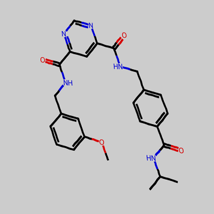 COc1cccc(CNC(=O)c2cc(C(=O)NCc3ccc(C(=O)NC(C)C)cc3)ncn2)c1